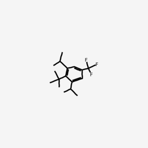 CC(C)c1cc(C(F)(F)F)cc(C(C)C)c1C(C)(C)C